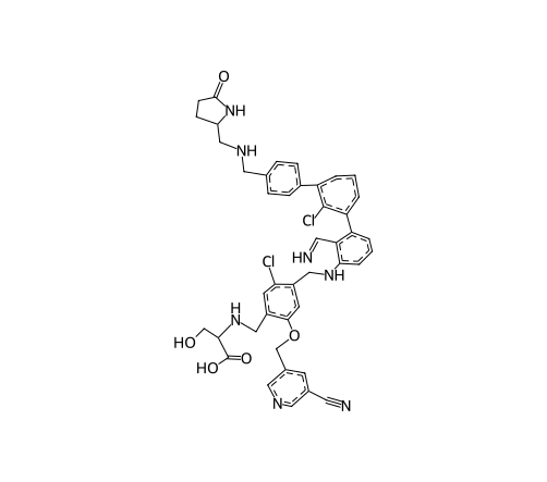 N#Cc1cncc(COc2cc(CNc3cccc(-c4cccc(-c5ccc(CNCC6CCC(=O)N6)cc5)c4Cl)c3C=N)c(Cl)cc2CNC(CO)C(=O)O)c1